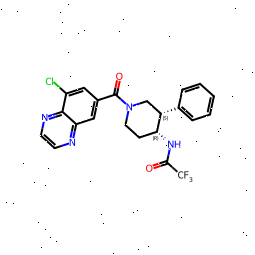 O=C(c1cc(Cl)c2nccnc2c1)N1CC[C@@H](NC(=O)C(F)(F)F)[C@@H](c2ccccc2)C1